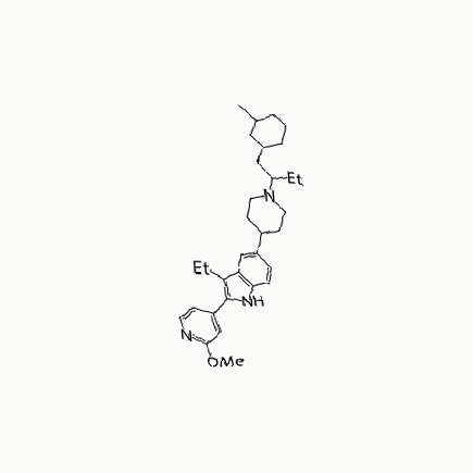 CCc1c(-c2ccnc(OC)c2)[nH]c2ccc(C3CCN(C(CC)C[C@@H]4CCCC(C)C4)CC3)cc12